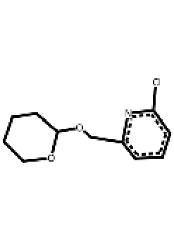 Clc1cccc(COC2CCCCO2)n1